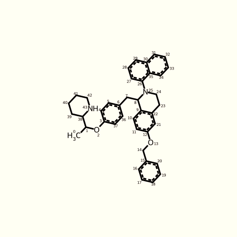 CC(Oc1ccc(CC2c3ccc(OCc4ccccc4)cc3CCN2c2cccc3ccccc23)cc1)C1CCCCN1